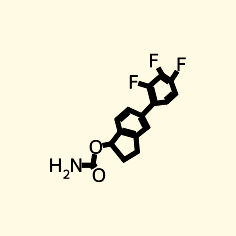 NC(=O)OC1CCc2cc(-c3ccc(F)c(F)c3F)ccc21